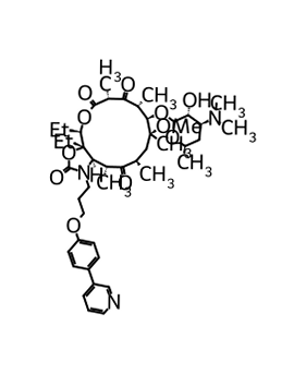 CC[C@H]1OC(=O)[C@H](C)C(=O)[C@H](C)[C@@H](OC2O[C@H](C)C[C@H](N(C)C)[C@H]2O)[C@@](C)(OC)C[C@@H](C)C(=O)[C@H](C)[C@H]2N(CCCOc3ccc(-c4cccnc4)cc3)C(=O)O[C@]12CC